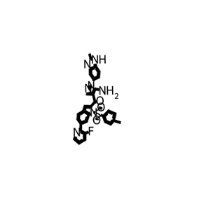 Cc1ccc(S(=O)(=O)n2c(C(=O)c3cnn(-c4ccc5[nH]c(C)nc5c4)c3N)cc3ccc(-c4ncccc4F)cc32)cc1